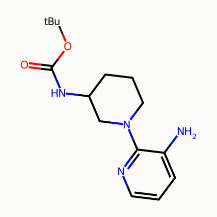 CC(C)(C)OC(=O)NC1CCCN(c2ncccc2N)C1